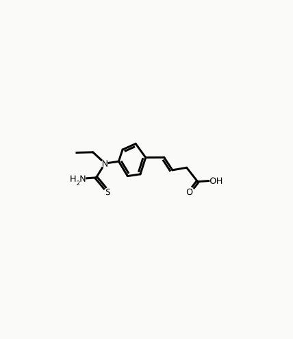 CCN(C(N)=S)c1ccc(/C=C/CC(=O)O)cc1